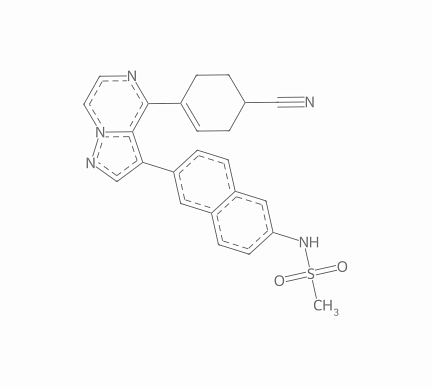 CS(=O)(=O)Nc1ccc2cc(-c3cnn4ccnc(C5=CCC(C#N)CC5)c34)ccc2c1